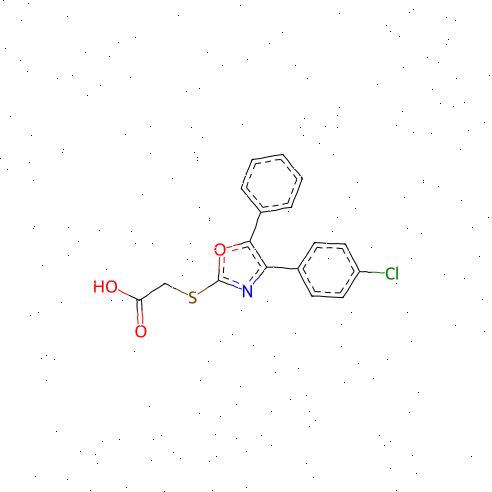 O=C(O)CSc1nc(-c2ccc(Cl)cc2)c(-c2ccccc2)o1